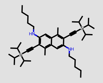 CCCCCNc1cc2c(C)c(C#C[Si](C(C)C)(C(C)C)C(C)C)c(NCCCCC)cc2c(C)c1C#C[Si](C(C)C)(C(C)C)C(C)C